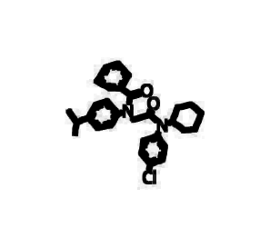 CC(C)c1ccc(N(CC(=O)N(c2ccc(Cl)cc2)C2CCCCC2)C(=O)c2ccccc2)cc1